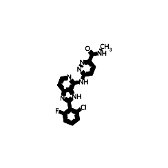 CNC(=O)c1ccc(Nc2nccc3nc(-c4c(F)cccc4Cl)[nH]c23)nn1